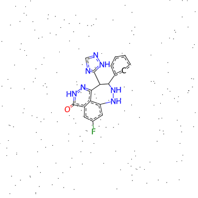 O=c1[nH]nc2c3c(cc(F)cc13)NNC(c1ccccc1)C2c1ncn[nH]1